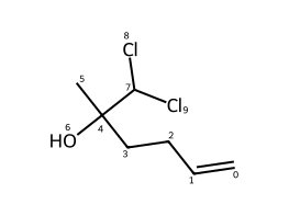 C=CCCC(C)(O)C(Cl)Cl